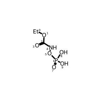 CCOC(=O)NOP(=O)(O)O